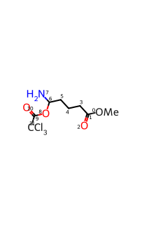 COC(=O)CCCC(N)OC(=O)C(Cl)(Cl)Cl